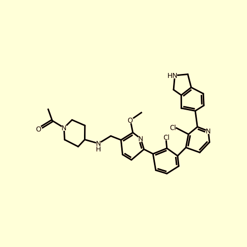 COc1nc(-c2cccc(-c3ccnc(-c4ccc5c(c4)CNC5)c3Cl)c2Cl)ccc1CNC1CCN(C(C)=O)CC1